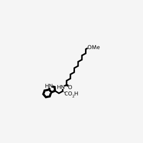 COCCCCCCCCCCCC(=O)N[C@@H](Cc1c[nH]c2ccccc12)C(=O)O